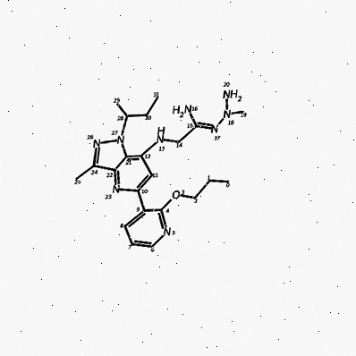 CCCOc1ncccc1-c1cc(NC/C(N)=N/N(C)N)c2c(n1)c(C)nn2C(C)CC